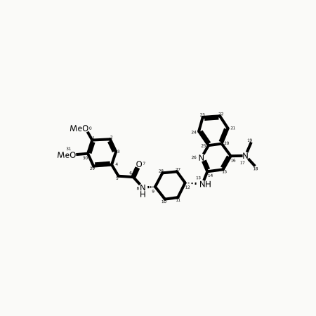 COc1ccc(CC(=O)N[C@H]2CC[C@@H](Nc3cc(N(C)C)c4ccccc4n3)CC2)cc1OC